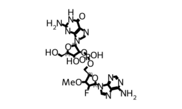 COC1C(F)[C@H](n2cnc3c(N)ncnc32)O[C@@H]1COP(=O)(O)OC1C(O)[C@@H](CO)O[C@H]1n1cnc2c(=O)[nH]c(N)nc21